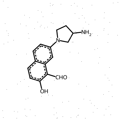 NC1CCN(c2ccc3ccc(O)c(C=O)c3c2)C1